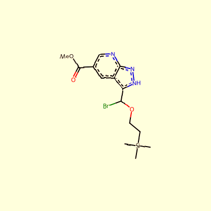 COC(=O)c1cnc2n[nH]c(C(Br)OCC[Si](C)(C)C)c2c1